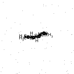 COc1ccc(Cc2nc3cc(NC(=O)c4ccc5nc(-c6ccc(N(C)C)cc6)[nH]c5c4)ccc3[nH]2)cc1